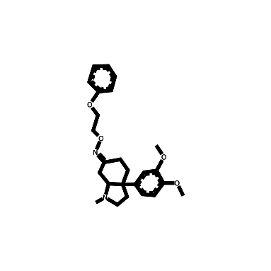 COc1ccc(C23CC/C(=N\OCCOc4ccccc4)CC2N(C)CC3)cc1OC